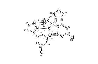 CC(C)(C)C(SC(c1ccc(Cl)cc1Cl)(n1cncn1)C(C)(C)C)(c1ccc(Cl)cc1Cl)n1cncn1